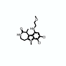 COCCNc1cc(Cl)c(Cl)c2c1c1c(n2C)CCNC(=O)C1C